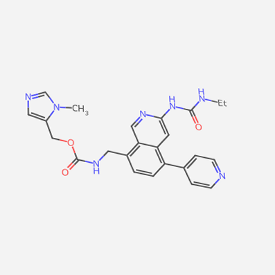 CCNC(=O)Nc1cc2c(-c3ccncc3)ccc(CNC(=O)OCc3cncn3C)c2cn1